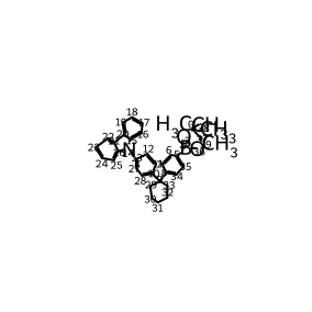 CC1(C)OB(c2ccc(C3(c4ccc(-n5c6ccccc6c6ccccc65)cc4)CCCCC3)cc2)OC1(C)C